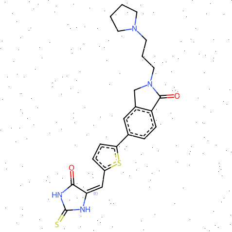 O=C1NC(=S)N/C1=C/c1ccc(-c2ccc3c(c2)CN(CCCN2CCCC2)C3=O)s1